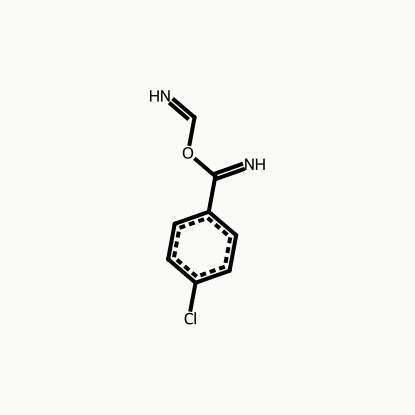 N=COC(=N)c1ccc(Cl)cc1